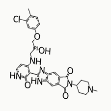 Cc1ccc(OC[C@H](O)CNc2cc[nH]c(=O)c2-c2nc3cc4c(cc3[nH]2)C(=O)N(C2CCN(C)CC2)C4=O)cc1Cl